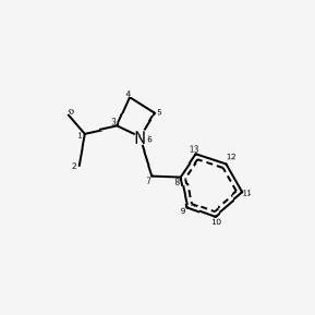 CC(C)C1CCN1Cc1ccccc1